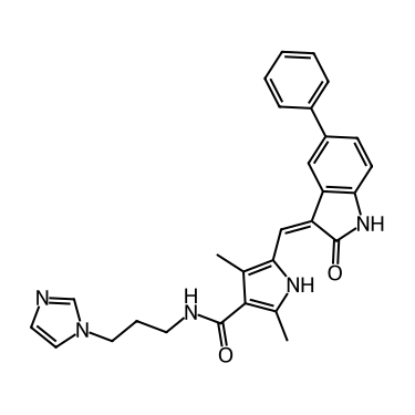 Cc1[nH]c(C=C2C(=O)Nc3ccc(-c4ccccc4)cc32)c(C)c1C(=O)NCCCn1ccnc1